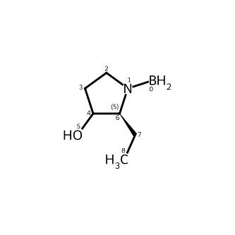 BN1CCC(O)[C@@H]1CC